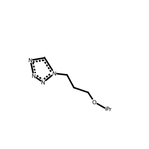 CC(C)OCCCn1[c]nnn1